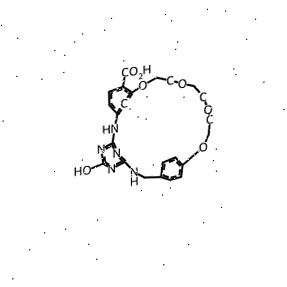 O=C(O)c1ccc2cc1OCCOCCOCCOc1ccc(cc1)CNc1nc(O)nc(n1)N2